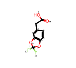 O=C(O)Cc1ccc2c(c1)OC(F)(F)O2